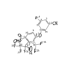 N#Cc1cc(F)cc(Oc2ccc3c(c2C(F)F)C(O)(F)C(F)(F)S3(=O)=O)c1